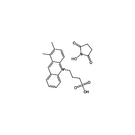 Cc1ccc2c(cc3ccccc3[n+]2CCCS(=O)(=O)O)c1C.O=C1CCC(=O)N1O